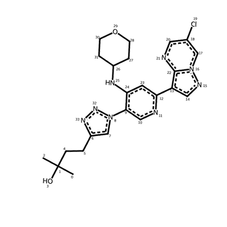 CC(C)(O)CCc1cn(-c2cnc(-c3cnn4cc(Cl)cnc34)cc2NC2CCOCC2)nn1